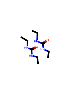 CCNC(=O)NCC.CCNC(=O)NCC